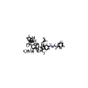 COc1cc(C(=O)N2C[C@H]3CCC2[C@H]3N)cc2nc(-c3cc4ccc(/C=C/CCc5ccccc5)cc4n3CC3CC3)n(C)c12